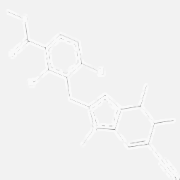 COC(=O)c1ccc(Cl)c(Cc2cc3c(n2C)C=C(C#N)C(C)C3C)c1Cl